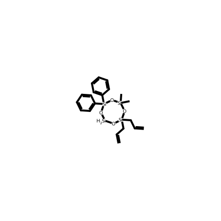 C=CC[Si]1(CC=C)O[SiH2]O[Si](c2ccccc2)(c2ccccc2)O[Si](C)(C)O1